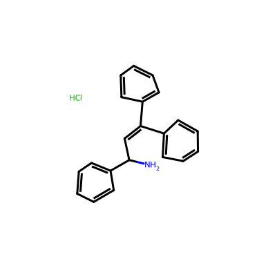 Cl.NC(C=C(c1ccccc1)c1ccccc1)c1ccccc1